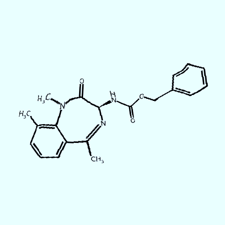 CC1=N[C@H](NC(=O)OCc2ccccc2)C(=O)N(C)c2c(C)cccc21